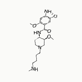 CNCCCCN1CC[C@@H](NC(=O)c2cc(Cl)c(N)cc2OC)[C@@H](OC)C1